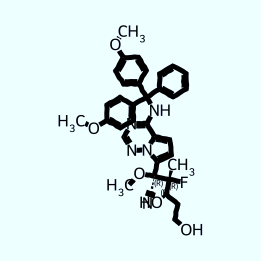 COc1ccc(C(Nc2ncnn3c([C@](C#N)(OC)[C@](C)(F)[C@H](O)CCO)ccc23)(c2ccccc2)c2ccc(OC)cc2)cc1